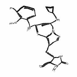 COc1c(Br)cccc1Nc1cc(NC2CC2)n2ncc(/C=C3\NC(=O)NC3=O)c2n1